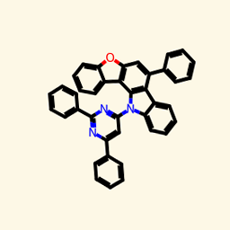 c1ccc(-c2cc(-n3c4ccccc4c4c(-c5ccccc5)cc5oc6ccccc6c5c43)nc(-c3ccccc3)n2)cc1